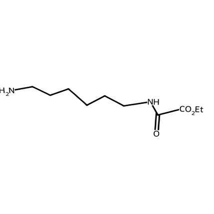 CCOC(=O)C(=O)NCCCCCCN